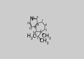 CC(C)[C@]1(C)CCCc2cnccc2C1